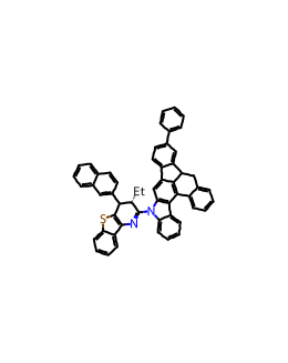 CC[C@@H]1C(n2c3ccccc3c3c4c5c(cc32)-c2ccc(-c3ccccc3)cc2C5Cc2ccccc2-4)=Nc2c(sc3ccccc23)C1c1ccc2ccccc2c1